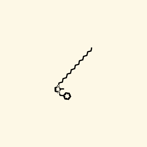 CCCCCCCCCCCCCCCCCN1C=CN(Cc2ccccc2)C1C